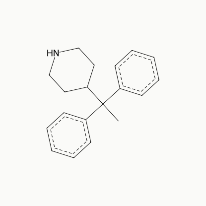 CC(c1ccccc1)(c1ccccc1)C1CCNCC1